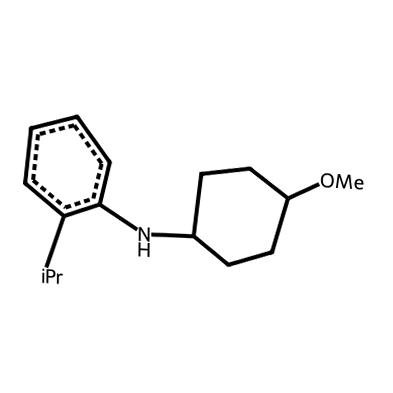 COC1CCC(Nc2ccccc2C(C)C)CC1